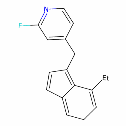 CCC1=CCC=C2C=CC(Cc3ccnc(F)c3)=C21